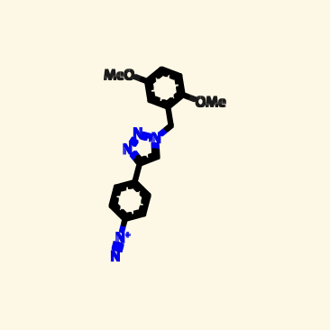 COc1ccc(OC)c(Cn2cc(-c3ccc([N+]#N)cc3)nn2)c1